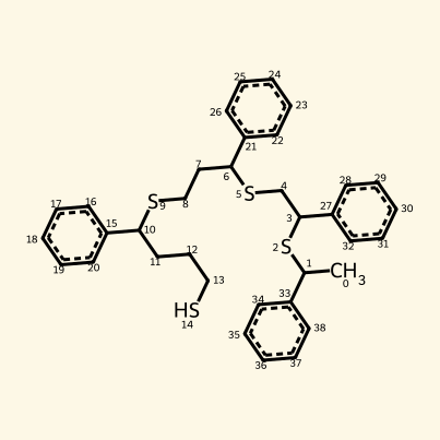 CC(SC(CSC(CCSC(CCCS)c1ccccc1)c1ccccc1)c1ccccc1)c1ccccc1